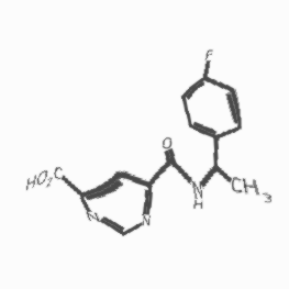 CC(NC(=O)c1cc(C(=O)O)ncn1)c1ccc(F)cc1